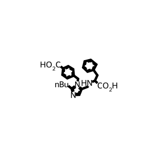 CCCCc1ncc(CNC(Cc2ccccc2)C(=O)O)n1Cc1ccc(C(=O)O)cc1